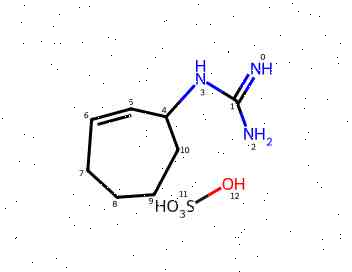 N=C(N)NC1C=CCCCC1.O=S(=O)(O)O